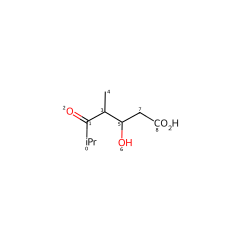 CC(C)C(=O)C(C)C(O)CC(=O)O